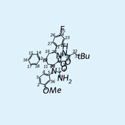 COc1cccc(N(C(N)=O)[C@@H]2C[C@H](c3ccccc3)CC(c3ccc(F)cc3)N(NC(=O)CC(C)(C)C)C2=O)c1